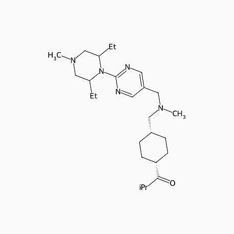 CCC1CN(C)CC(CC)N1c1ncc(CN(C)C[C@H]2CC[C@@H](C(=O)C(C)C)CC2)cn1